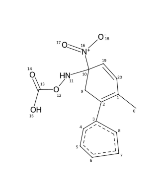 CC1=C(c2ccccc2)CC(NOC(=O)O)([N+](=O)[O-])C=C1